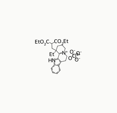 CCOC(=O)C(CC1(CC)CCC[N+]2=C1c1[nH]c3ccccc3c1CC2)C(=O)OCC.[O-][Cl+3]([O-])([O-])[O-]